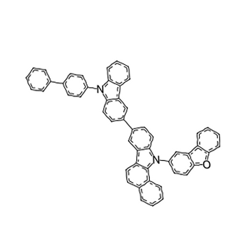 c1ccc(-c2ccc(-n3c4ccccc4c4cc(-c5ccc6c(c5)c5ccc7ccccc7c5n6-c5ccc6oc7ccccc7c6c5)ccc43)cc2)cc1